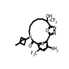 CC12CC(N3CCCCC[C@](O)(C(F)(F)F)c4nnc(o4)-c4nc(c(C(F)(F)F)cc4N)C3=O)(C1)C2